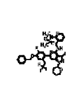 CN(c1ncccc1CNc1nc(-c2cc(F)c(OCc3ccccc3)cc2CC(F)(F)F)cc2c1c(I)nn2C1CCCCO1)S(C)(=O)=O